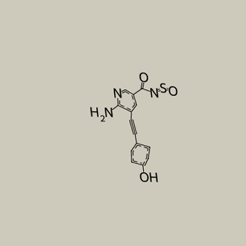 Nc1ncc(C(=O)N=S=O)cc1C#Cc1ccc(O)cc1